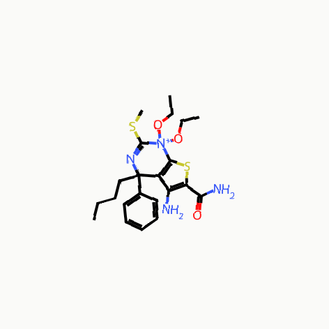 CCCCC1(c2ccccc2)N=C(SC)[N+](OCC)(OCC)c2sc(C(N)=O)c(N)c21